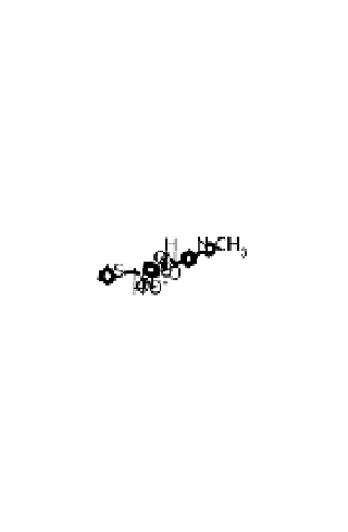 Cc1ccc(-c2ccc(C(=O)NS(=O)(=O)c3ccc(NCCSc4ccccc4)c([N+](=O)[O-])c3)cc2)nc1